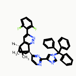 CC1(C)[C@H]2CC[C@@]1(c1ccnc(-c3cn(C(c4ccccc4)(c4ccccc4)c4ccccc4)cn3)n1)c1nnc(-c3c(F)cccc3F)cc12